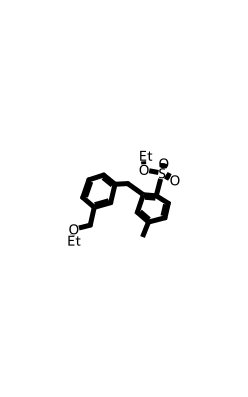 CCOCc1cccc(Cc2cc(C)ccc2S(=O)(=O)OCC)c1